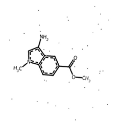 COC(=O)c1ccc2c(c1)c(N)cn2C